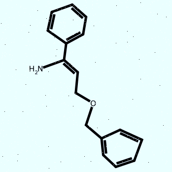 NC(=CCOCc1ccccc1)c1ccccc1